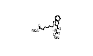 COC(=O)CCCCCN[C@@H](Cc1ccccc1)C(=O)NC(=O)OC(C)(C)C